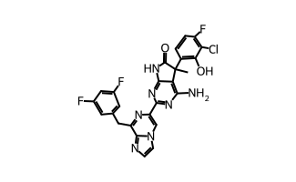 CC1(c2ccc(F)c(Cl)c2O)C(=O)Nc2nc(-c3cn4ccnc4c(Cc4cc(F)cc(F)c4)n3)nc(N)c21